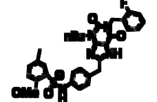 CCCCn1c(=O)n(Cc2ccccc2F)c(=O)c2[nH]c(Cc3ccc(NS(=O)(=O)c4cc(C)ccc4OC)cc3)nc21